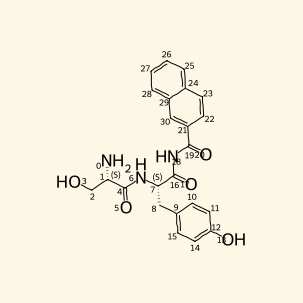 N[C@@H](CO)C(=O)N[C@@H](Cc1ccc(O)cc1)C(=O)NC(=O)c1ccc2ccccc2c1